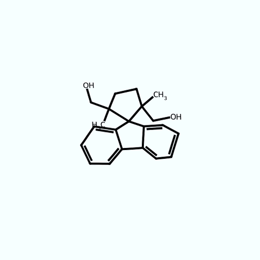 CC1(CO)CCC(C)(CO)C12c1ccccc1-c1ccccc12